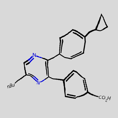 CCCCc1cnc(-c2ccc(C3CC3)cc2)c(-c2ccc(C(=O)O)cc2)n1